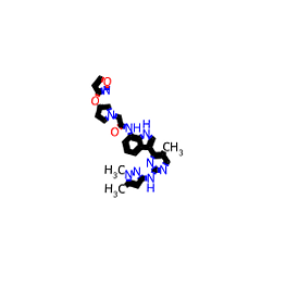 Cc1cnc(Nc2cc(C)n(C)n2)nc1-c1c[nH]c2c(NC(=O)CN3CC[C@H](Oc4ccon4)C3)cccc12